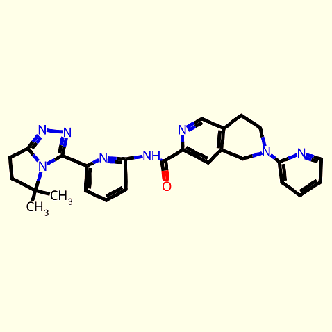 CC1(C)CCc2nnc(-c3cccc(NC(=O)c4cc5c(cn4)CCN(c4ccccn4)C5)n3)n21